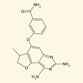 CC1COc2c1c(Oc1cccc(C(N)=O)c1)cc1nc(N)nc(N)c21